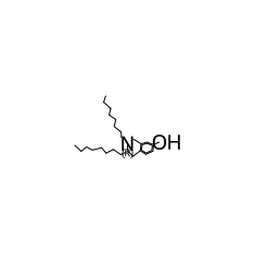 CCCCCCCC[C@@H]1Cc2ccc(O)cc2CN1CCCCCCCC